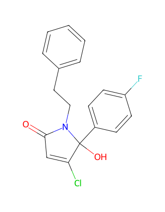 O=C1C=C(Cl)C(O)(c2ccc(F)cc2)N1CCc1ccccc1